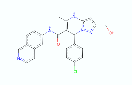 CC1=C(C(=O)Nc2ccc3cnccc3c2)C(c2ccc(Cl)cc2)n2nc(CO)cc2N1